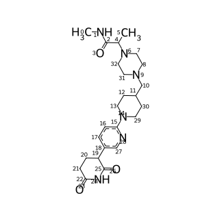 CNC(=O)C(C)N1CCN(CC2CCN(c3ccc(C4CCC(=O)NC4=O)cn3)CC2)CC1